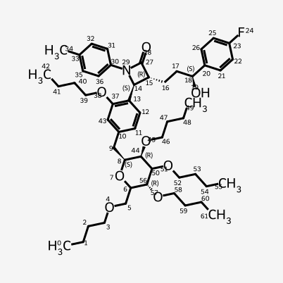 CCCCOCC1O[C@@H](Cc2ccc([C@@H]3[C@@H](CC[C@H](O)c4ccc(F)cc4)C(=O)N3c3ccc(C)cc3)c(OCCCC)c2)[C@@H](OCCCC)C(OCCCC)[C@@H]1OCCCC